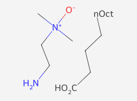 CCCCCCCCCCCC(=O)O.C[N+](C)([O-])CCN